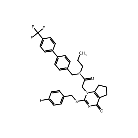 CCCN(Cc1ccc(-c2ccc(C(F)(F)F)cc2)cc1)C(=O)Cn1c(SCc2ccc(F)cc2)nc(=O)c2c1CCC2